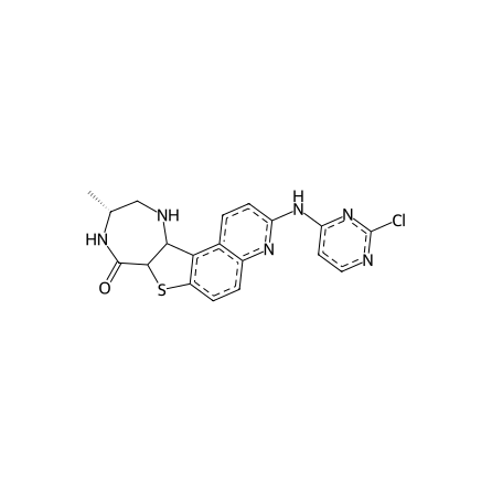 C[C@@H]1CNC2c3c(ccc4nc(Nc5ccnc(Cl)n5)ccc34)SC2C(=O)N1